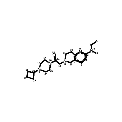 CCN(C)c1ccc2c(n1)CCN(CC(=O)N1CCN(C3CCC3)CC1)C2